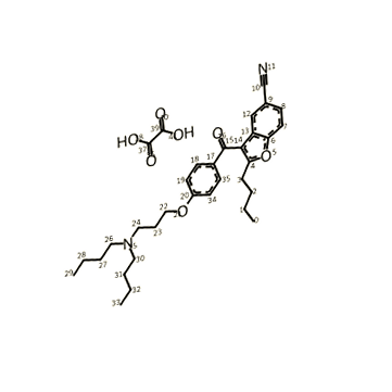 CCCCc1oc2ccc(C#N)cc2c1C(=O)c1ccc(OCCCN(CCCC)CCCC)cc1.O=C(O)C(=O)O